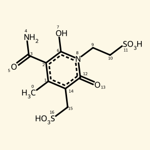 Cc1c(C(N)=O)c(O)n(CCS(=O)(=O)O)c(=O)c1CS(=O)(=O)O